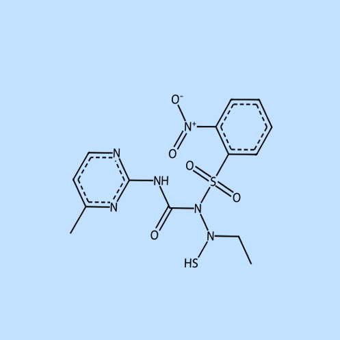 CCN(S)N(C(=O)Nc1nccc(C)n1)S(=O)(=O)c1ccccc1[N+](=O)[O-]